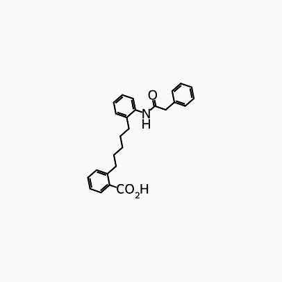 O=C(Cc1ccccc1)Nc1ccccc1CCCCCc1ccccc1C(=O)O